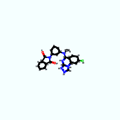 CN(c1cccc(N2C(=O)c3ccccc3C2=O)c1)c1nc2nncn2c2cc(Cl)ccc12